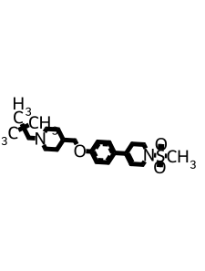 CC(C)(C)CN1CCC(COc2ccc(C3=CCN(S(C)(=O)=O)CC3)cc2)CC1